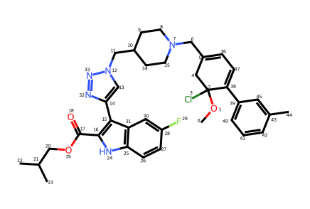 COC1(Cl)CC(CN2CCC(Cn3cc(-c4c(C(=O)OCC(C)C)[nH]c5ccc(F)cc45)nn3)CC2)=CC=C1c1cccc(C)c1